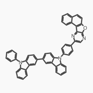 c1ccc(-n2c3ccccc3c3cc(-c4ccc5c(c4)c4ccccc4n5-c4ccc(-c5cnc6oc7ccc8ccccc8c7c6n5)cc4)ccc32)cc1